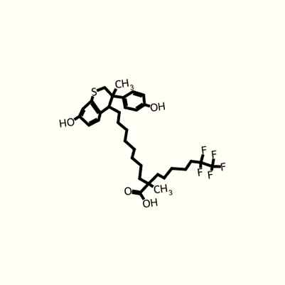 CC(CCCCCCCCC1c2ccc(O)cc2SCC1(C)c1ccc(O)cc1)(CCCCCC(F)(F)C(F)(F)F)C(=O)O